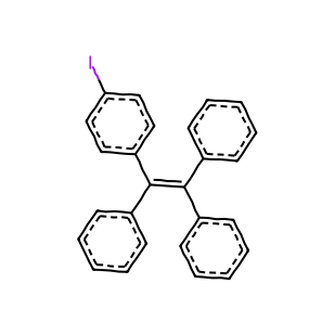 Ic1ccc(C(=C(c2ccccc2)c2ccccc2)c2ccccc2)cc1